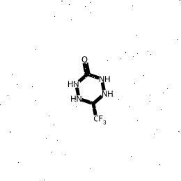 O=C1NNC(C(F)(F)F)NN1